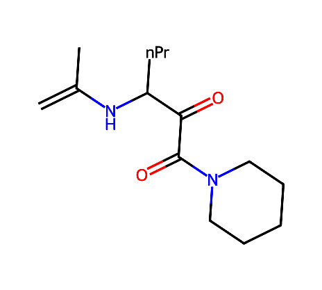 C=C(C)NC(CCC)C(=O)C(=O)N1CCCCC1